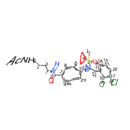 CC(=O)NCCCNC(=O)c1ccc(N(Cc2cccc(Cl)c2Cl)S(C)(=O)=O)cc1